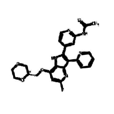 CC(=O)Nc1cc(-c2[nH]c3c(OC[C@H]4COCCO4)cc(F)nc3c2-c2ccccn2)ccn1